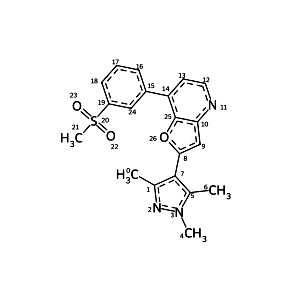 Cc1nn(C)c(C)c1-c1cc2nccc(-c3cccc(S(C)(=O)=O)c3)c2o1